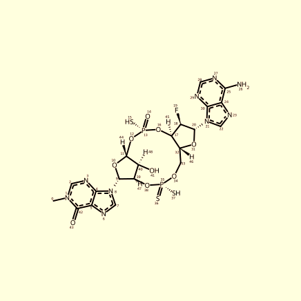 Cn1cnc2c(ncn2[C@@H]2O[C@@H]3O[P@](=O)(S)O[C@H]4[C@@H](F)[C@H](n5cnc6c(N)ncnc65)O[C@@H]4CO[P@](=S)(S)O[C@@H]2[C@@H]3O)c1=O